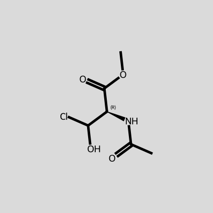 COC(=O)[C@@H](NC(C)=O)C(O)Cl